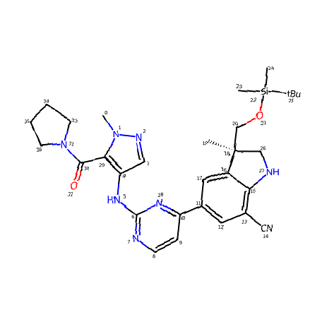 Cn1ncc(Nc2nccc(-c3cc(C#N)c4c(c3)[C@@](C)(CO[Si](C)(C)C(C)(C)C)CN4)n2)c1C(=O)N1CCCC1